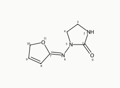 O=C1NCCN1N=C1C=CCO1